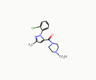 CCOC(=O)N1CCN(C(=O)c2cc(C(F)(F)F)nn2-c2ccccc2Cl)CC1